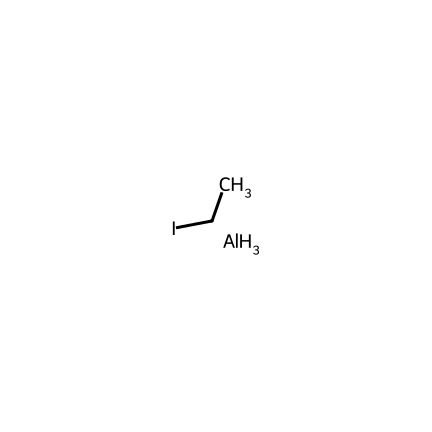 CCI.[AlH3]